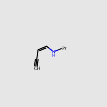 C#C/C=C\NC(C)C